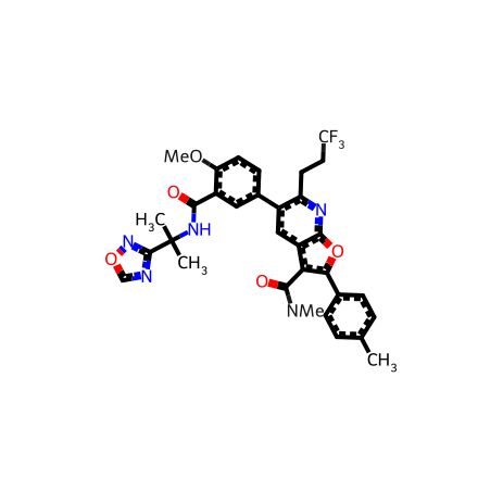 CNC(=O)c1c(-c2ccc(C)cc2)oc2nc(CCC(F)(F)F)c(-c3ccc(OC)c(C(=O)NC(C)(C)c4ncon4)c3)cc12